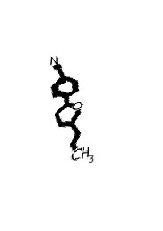 CCCC1CCC(c2ccc(C#N)cc2)OC1